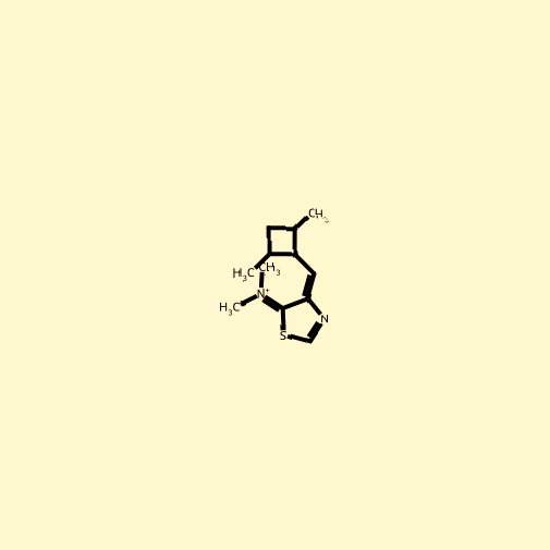 CC1CC(C)C1/C=C1/N=CSC1=[N+](C)C